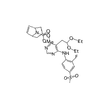 CCOC(Cc1c(Nc2ccc(S(C)(=O)=O)cc2F)ncnc1OC1CC2C=CC(C1)N2C(=O)OC)OCC